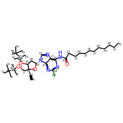 C#C[C@]1(CO[Si](C)(C)C(C)(C)C)O[C@@H](n2cnc3c(NC(=O)CCCCCCCCCCC)nc(F)nc32)CC1O[Si](C)(C)C(C)(C)C